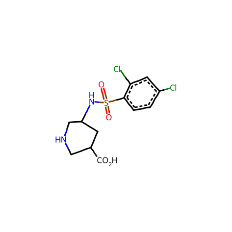 O=C(O)C1CNCC(NS(=O)(=O)c2ccc(Cl)cc2Cl)C1